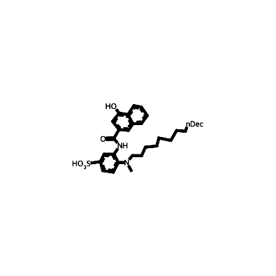 CCCCCCCCCCCCCCCCCCN(C)c1ccc(S(=O)(=O)O)cc1NC(=O)c1cc(O)c2ccccc2c1